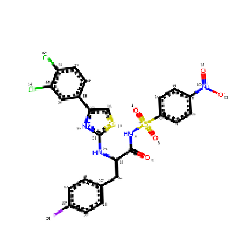 O=C(NS(=O)(=O)c1ccc([N+](=O)[O-])cc1)C(Cc1ccc(I)cc1)Nc1nc(-c2ccc(Cl)c(Cl)c2)cs1